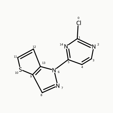 Clc1nccc(-n2ncc3sccc32)n1